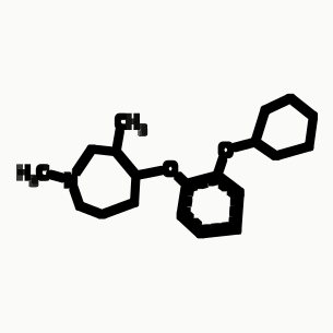 CC1CN(C)CCCC1Oc1ccccc1OC1CCCCC1